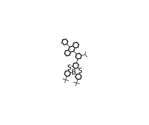 CC(C)c1cc(-c2cc3c4c(c2)Sc2ccc(C(C)(C)C)cc2B4c2cc(C(C)(C)C)ccc2S3)cc(-c2c3ccccc3c(-c3ccccc3)c3ccccc23)c1